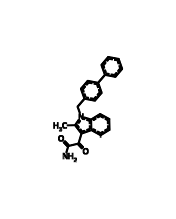 Cc1c(C(=O)C(N)=O)c2[c]cccc2n1Cc1ccc(-c2ccccc2)cc1